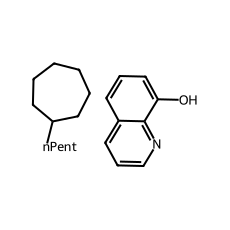 CCCCCC1CCCCCC1.Oc1cccc2cccnc12